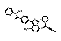 CC#CC(=O)N1CCC[C@H]1c1nc(-c2ccc(C(=O)N(N)c3ccccn3)cc2)c2c(N)nccn12